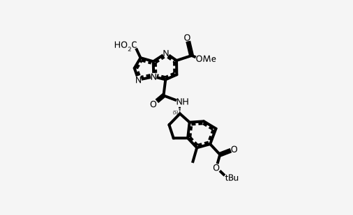 COC(=O)c1cc(C(=O)N[C@H]2CCc3c2ccc(C(=O)OC(C)(C)C)c3C)n2ncc(C(=O)O)c2n1